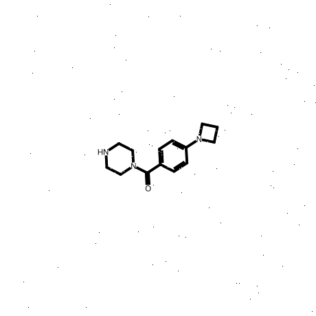 O=C(c1ccc(N2CCC2)cc1)N1CCNCC1